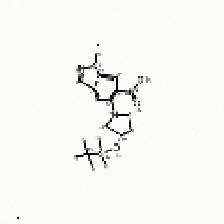 Cn1ncc2cc(N3CC[C@H](O[Si](C)(C)C(C)(C)C)C3)c([N+](=O)[O-])cc21